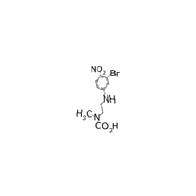 CN(CCNc1ccc([N+](=O)[O-])c(Br)c1)C(=O)O